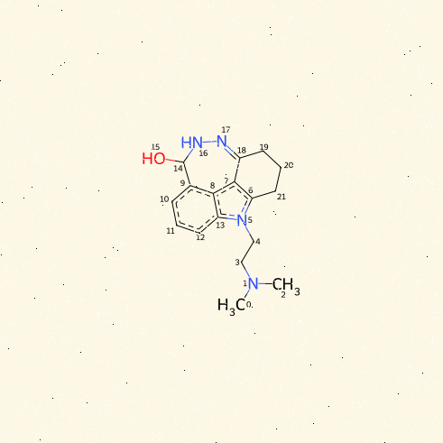 CN(C)CCn1c2c3c4c(cccc41)C(O)NN=C3CCC2